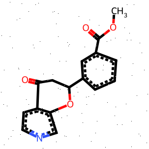 COC(=O)c1cccc(C2CC(=O)c3ccncc3O2)c1